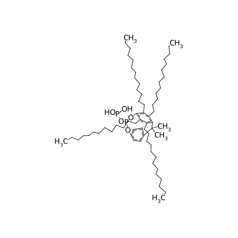 CCCCCCCCCCCCCc1c(CCCCCCCCCCCCC)c2c(CCCCCCCCCCCCC)c(CCCCCCCCCCCCC)c1OP(OP(O)O)Oc1ccc(cc1)C2(C)C